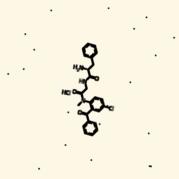 CN(C(=O)CNC(=O)[C@@H](N)Cc1ccccc1)c1ccc(Cl)cc1C(=O)c1ccccc1.Cl